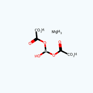 O=C(O)C(=O)OB(O)OC(=O)C(=O)O.[MgH2]